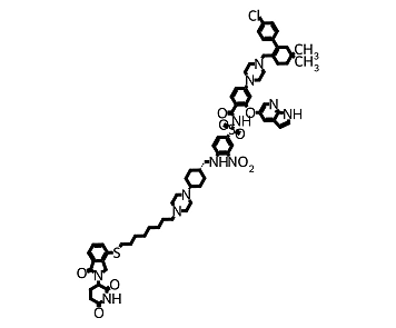 CC1(C)CCC(CN2CCN(c3ccc(C(=O)NS(=O)(=O)c4ccc(NC[C@H]5CC[C@H](N6CCN(CCCCCCCCSc7cccc8c7CN(C7CCC(=O)NC7=O)C8=O)CC6)CC5)c([N+](=O)[O-])c4)c(Oc4cnc5[nH]ccc5c4)c3)CC2)=C(c2ccc(Cl)cc2)C1